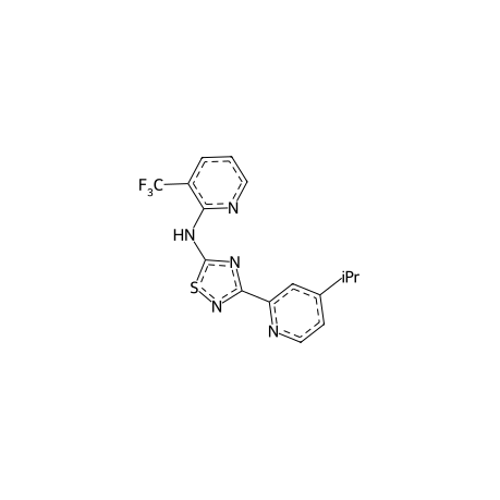 CC(C)c1ccnc(-c2nsc(Nc3ncccc3C(F)(F)F)n2)c1